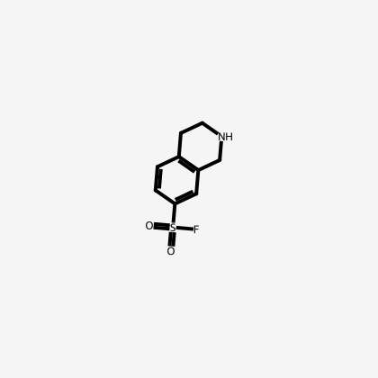 O=S(=O)(F)c1ccc2c(c1)CNCC2